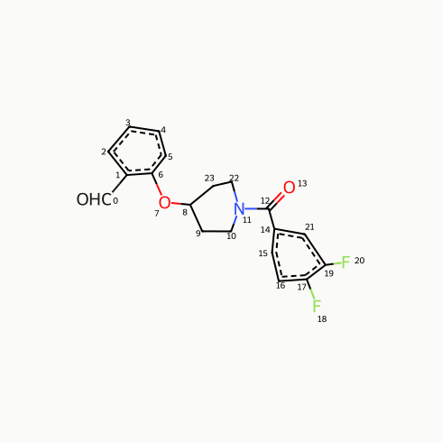 O=Cc1ccccc1OC1CCN(C(=O)c2ccc(F)c(F)c2)CC1